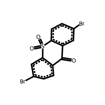 O=C1c2cc(Br)ccc2S(=O)(=O)c2cc(Br)ccc21